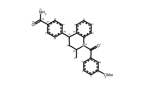 COc1cccc(C(=O)N2c3ccccc3C(c3ccc(C(N)=O)cc3)CC2C)c1